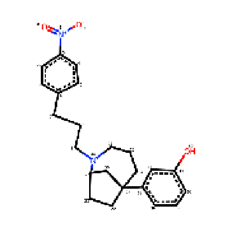 O=[N+]([O-])c1ccc(CCCN2CCCC3(c4cccc(O)c4)CCC2C3)cc1